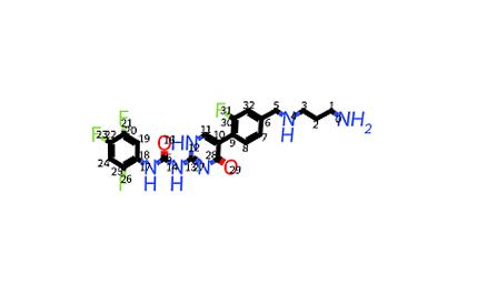 NCCCNCc1ccc(-c2c[nH]c(NC(=O)Nc3cc(F)c(F)cc3F)nc2=O)c(F)c1